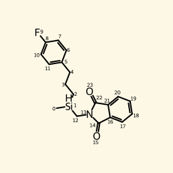 C[SiH](CCCc1ccc(F)cc1)CN1C(=O)c2ccccc2C1=O